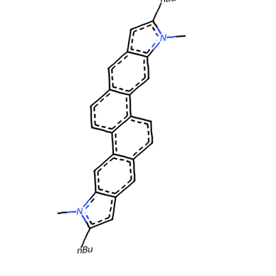 CCCCc1cc2cc3ccc4c5cc6c(cc(CCCC)n6C)cc5ccc4c3cc2n1C